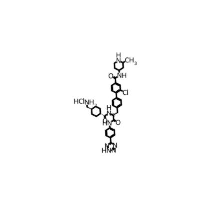 CC1CC(NC(=O)c2ccc(-c3ccc(C[C@H](NC(=O)[C@H]4CC[C@H](CN)CC4)C(=O)Nc4ccc(-c5nn[nH]n5)cc4)cc3)c(Cl)c2)CCN1.Cl